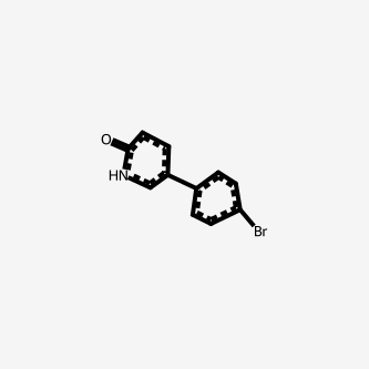 O=c1ccc(-c2ccc(Br)cc2)c[nH]1